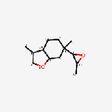 CC1COC2CC(C)(C3OC3C)CCC12